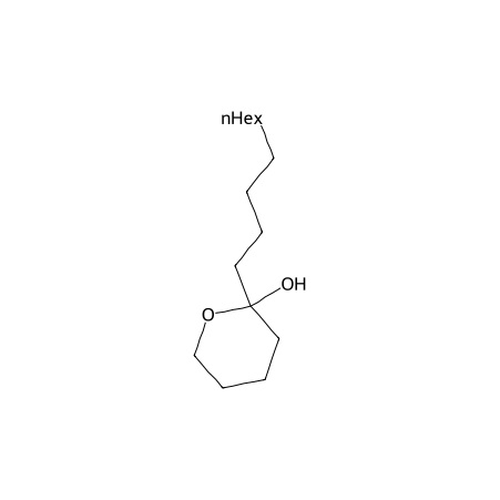 CCCCCCCCCCC1(O)CCCCO1